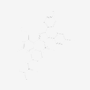 CCOc1nc(C(C)(C)C)ncc1C1=NC(c2ccc(Cl)cc2)C(c2ccc(Cl)cc2)N1C(=O)N1CCN(CC(=O)N(C)C)CC1.Cl